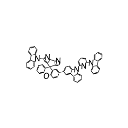 c1cc(-n2c3ccccc3c3ccccc32)nc(-n2c3ccccc3c3cc(-c4ccc5c(c4)C4(c6ccccc6O5)c5cccnc5-c5ncc(-n6c7ccccc7c7ccccc76)cc54)ccc32)c1